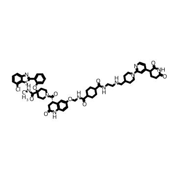 CNC(=O)C1(Oc2ccccc2-c2nc3cccc(Cl)c3s2)CCN(C(=O)[C@H]2CC(=O)Nc3ccc(OCNC(=O)C4CCC(C(=O)NCCNCC5CCN(c6cc(C7CCC(=O)NC7=O)ccn6)CC5)CC4)cc32)CC1